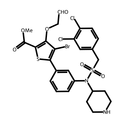 COC(=O)c1sc(-c2cccc(N(C3CCNCC3)S(=O)(=O)Cc3ccc(Cl)c(Cl)c3)c2)c(Br)c1OCC=O